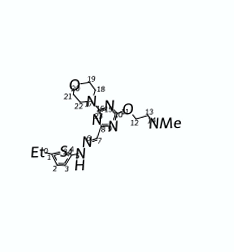 CCc1ccc(NN=Cc2nc(OCCNC)nc(N3CCOCC3)n2)s1